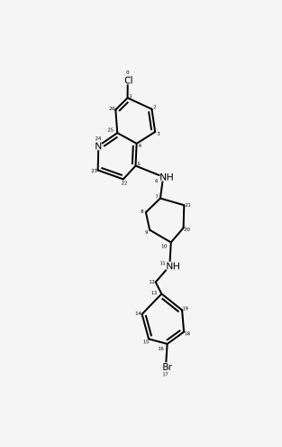 Clc1ccc2c(NC3CCC(NCc4ccc(Br)cc4)CC3)ccnc2c1